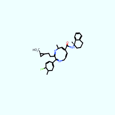 CC1/C=C(C(=O)N[C@@]2(C)CCCc3ccccc32)\C=C/C/N=C(C2=CCC(C)C(F)C=C2)\C(CCC2C[C@H]2C(=O)O)=N/1